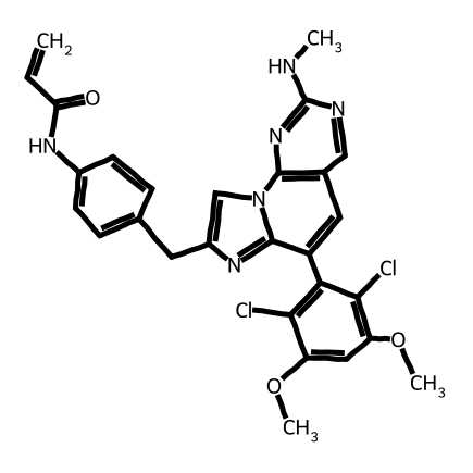 C=CC(=O)Nc1ccc(Cc2cn3c(n2)c(-c2c(Cl)c(OC)cc(OC)c2Cl)cc2cnc(NC)nc23)cc1